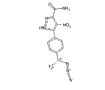 [N-]=[N+]=N[C@@H](c1ccc(-c2[nH]nc(C(N)=O)c2[N+](=O)[O-])cc1)C(F)(F)F